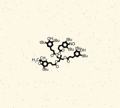 CC(C)(C)c1cc(CCC(=O)OCC(COC(=O)CCc2cc(C(C)(C)C)c(O)c(C(C)(C)C)c2)(COC(=O)CCc2cc(C(C)(C)C)c(N=O)c(C(C)(C)C)c2)COC(=O)CCc2cc(C(C)(C)C)c3c(c2)C(C)(C)O3)cc(C(C)(C)C)c1O